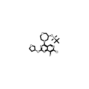 CC(C)(C)[Si](C)(C)O[C@@H]1COCCN(c2nc(O[C@H]3CCOC3)nc3c(F)c(Cl)ncc23)C1